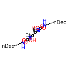 CCCCCCCCCCCCCCCCCCNC(=O)Oc1ccc(N=Nc2ccc(-c3ccc(N=Nc4ccc(OC(=O)NCCCCCCCCCCCCCCCCCC)cc4O)c(CC)c3)cc2CC)c(O)c1